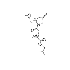 C=C1C[C@@H](COC)N(C(=O)CNC(=O)OCC(C)C)C1